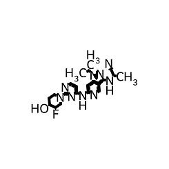 CC(C#N)Nc1nn(C(C)C)c2cc(Nc3ccnc(N4CC[C@@H](O)[C@@H](F)C4)n3)ncc12